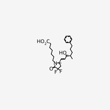 CC(CCCc1ccccc1)[C@H](O)C=C[C@H]1CC(F)(F)C(=O)N1CCCCCCC(=O)O